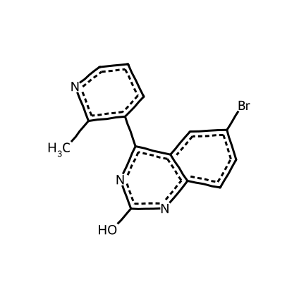 Cc1ncccc1-c1nc(O)nc2ccc(Br)cc12